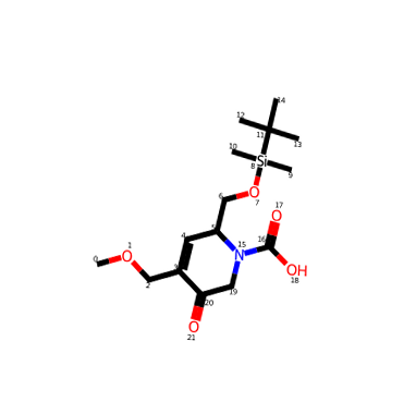 COCC1=CC(CO[Si](C)(C)C(C)(C)C)N(C(=O)O)CC1=O